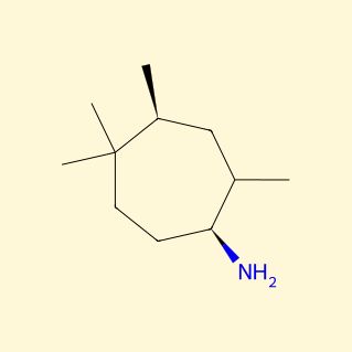 CC1C[C@H](C)C(C)(C)CC[C@@H]1N